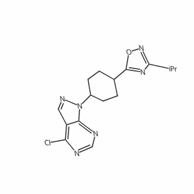 CC(C)c1noc(C2CCC(n3ncc4c(Cl)ncnc43)CC2)n1